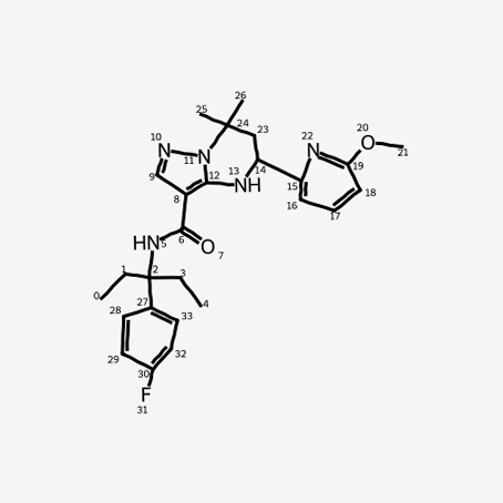 CCC(CC)(NC(=O)c1cnn2c1NC(c1cccc(OC)n1)CC2(C)C)c1ccc(F)cc1